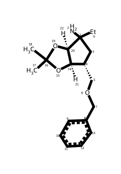 CCC1(N)C[C@H](COCc2ccccc2)[C@H]2OC(C)(C)O[C@H]21